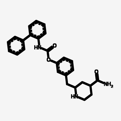 NC(=O)C1CCNC(Cc2cccc(OC(=O)Nc3ccccc3-c3ccccc3)c2)C1